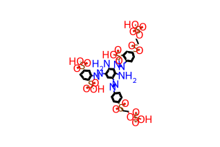 Nc1c(/N=N/c2ccc(S(=O)(=O)CCOS(=O)(=O)O)cc2)cc(/N=N/c2cc(S(=O)(=O)O)ccc2S(=O)(=O)O)c(N)c1/N=N/c1ccc(S(=O)(=O)CCOS(=O)(=O)O)cc1S(=O)(=O)O